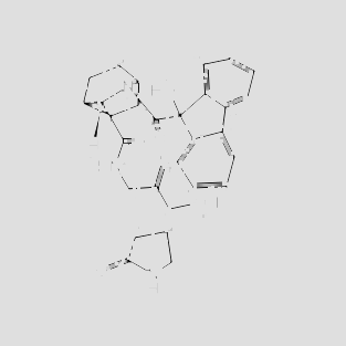 O=C1NCC[C@H]1C[C@H](NC(=O)[C@@H]1C2CCC(CC2)N1C(=O)C1(O)c2ccccc2-c2ccccc21)C(=O)CO